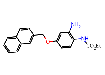 CCOC(=O)Nc1ccc(OCc2ccc3ccccc3c2)cc1N